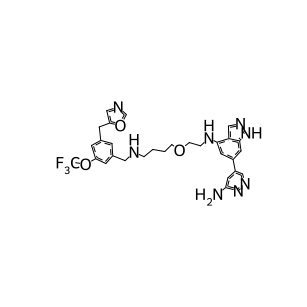 Nc1cc(-c2cc(NCCOCCCCNCc3cc(Cc4cnco4)cc(OC(F)(F)F)c3)c3cn[nH]c3c2)cnn1